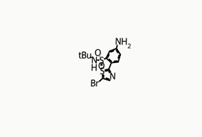 CC(C)(C)NS(=O)(=O)c1cc(N)ccc1-c1ncc(Br)s1